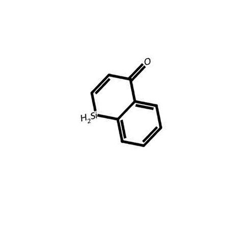 O=C1C=C[SiH2]c2ccccc21